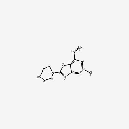 N=Nc1cc(Cl)cc2nc(N3CCOCC3)sc12